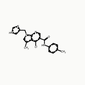 Cc1ccc(NC(=O)c2cnc3c(c(C)cn3Cc3c[nH]cn3)c2Cl)cc1